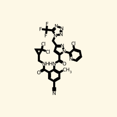 Cc1cc(C#N)cc(C(=O)NCC2CC2(Cl)Cl)c1NC(=O)c1cc(Cn2nnnc2C(F)(F)F)nn1-c1ncccc1Cl